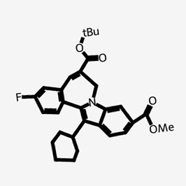 COC(=O)c1ccc2c(C3CCCCC3)c3n(c2c1)CC(C(=O)OC(C)(C)C)=Cc1cc(F)ccc1-3